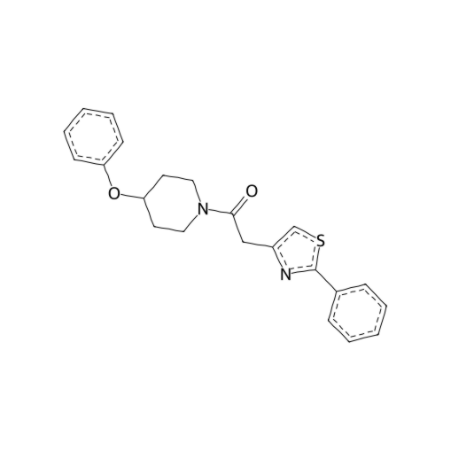 O=C(Cc1csc(-c2ccccc2)n1)N1CCC(Oc2ccccc2)CC1